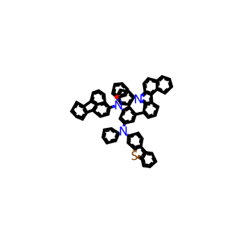 c1ccc(N(c2cc(-c3cccc4c5c6ccccc6ccc5n(-c5ccccc5)c34)cc(N(c3ccccc3)c3ccc4c5c(cccc35)-c3ccccc3-4)c2)c2ccc3c(c2)sc2ccccc23)cc1